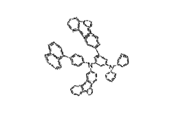 c1ccc(N(c2ccccc2)c2cc(-c3ccc4oc5ccccc5c4c3)cc(N(c3ccc(-c4cccc5ccccc45)cc3)c3ccc4oc5ccccc5c4c3)c2)cc1